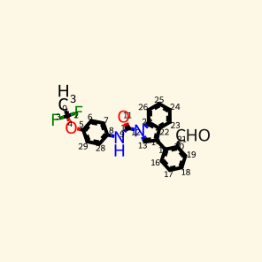 CC(F)(F)Oc1ccc(NC(=O)n2cc(-c3ccccc3C=O)c3ccccc32)cc1